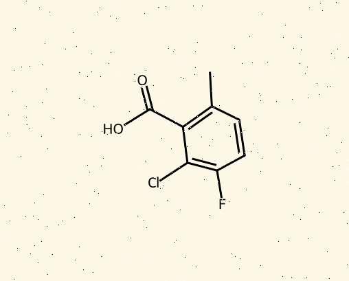 Cc1ccc(F)c(Cl)c1C(=O)O